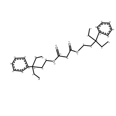 CCC(CC)(CCOC(=O)CC(=O)OCCC(CC)(CC)c1ccccc1)c1ccccc1